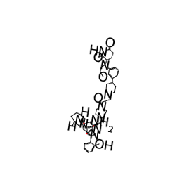 Nc1nnc(-c2ccccc2O)cc1N1C[C@H]2CC[C@@H](C1)N2c1cccc(CN2CCN(C(=O)CN3CCC(c4cccc5c4OCCN5C4CCC(=O)NC4=O)CC3)CC2)c1